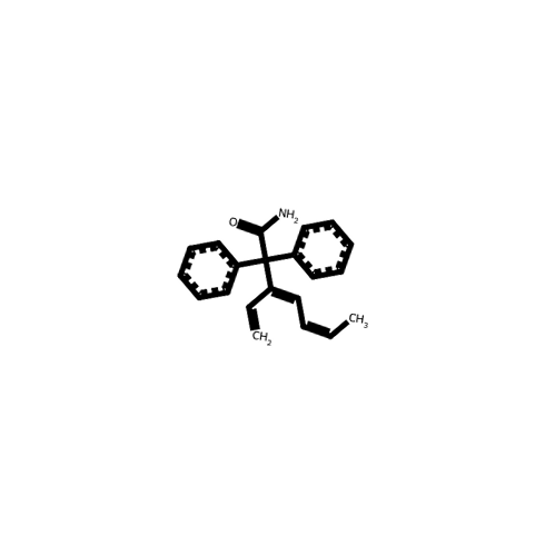 C=C/C(=C\C=C/C)C(C(N)=O)(c1ccccc1)c1ccccc1